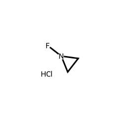 Cl.FN1CC1